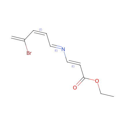 C=C(Br)\C=C/C=N/C=C/C(=O)OCC